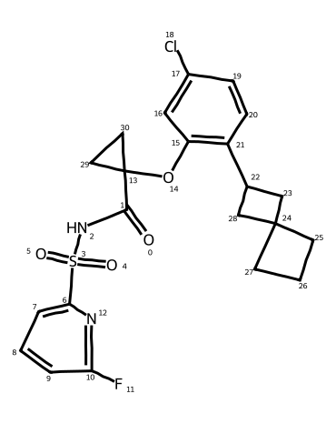 O=C(NS(=O)(=O)c1cccc(F)n1)C1(Oc2cc(Cl)ccc2C2CC3(CCC3)C2)CC1